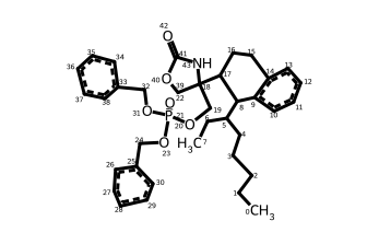 CCCCCC(CC)C1c2ccccc2CCC1C1(COP(=O)(OCc2ccccc2)OCc2ccccc2)COC(=O)N1